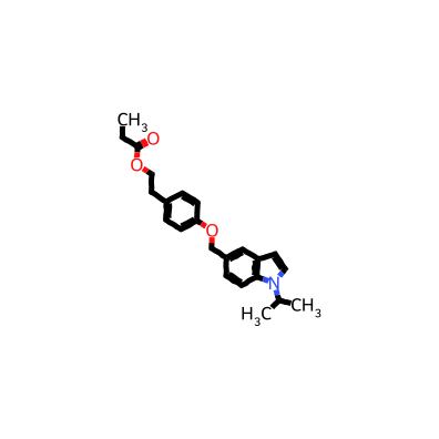 CCC(=O)OCCc1ccc(OCc2ccc3c(ccn3C(C)C)c2)cc1